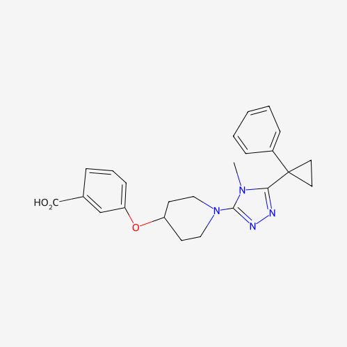 Cn1c(N2CCC(Oc3cccc(C(=O)O)c3)CC2)nnc1C1(c2ccccc2)CC1